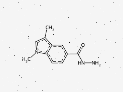 Cc1cn(C)c2ccc(C(=O)NN)cc12